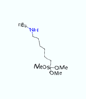 CCCCNCCCCCC[Si](OC)(OC)OC